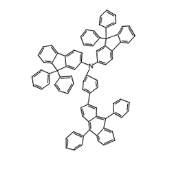 c1ccc(-c2c3ccccc3c(-c3ccccc3)c3cc(-c4ccc(N(c5ccc6c(c5)C(c5ccccc5)(c5ccccc5)c5ccccc5-6)c5ccc6c(c5)C(c5ccccc5)(c5ccccc5)c5ccccc5-6)cc4)ccc23)cc1